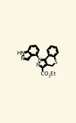 CCOC(=O)c1nn(-c2cccc3[nH]ncc23)c2c1CSc1ccccc1-2